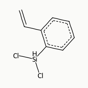 C=Cc1ccccc1[SiH](Cl)Cl